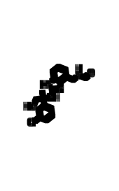 CC(CO)(Nc1nc2c(CNC=O)cccc2[nH]1)c1cccc(Cl)c1